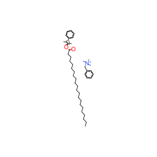 CCCCCCCCCCCCCCCCCCCCCC(=O)O[Si](C)(C)c1ccccc1.C[N+](C)(C)Cc1ccccc1